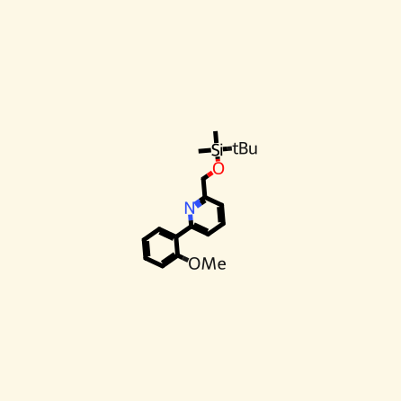 COc1ccccc1-c1cccc(CO[Si](C)(C)C(C)(C)C)n1